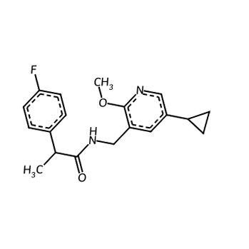 COc1ncc(C2CC2)cc1CNC(=O)C(C)c1ccc(F)cc1